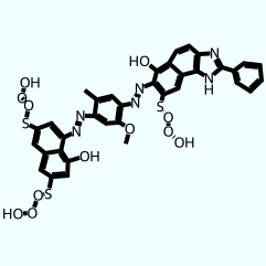 COc1cc(/N=N/c2cc(SOOO)cc3cc(SOOO)cc(O)c23)c(C)cc1/N=N/c1c(SOOO)cc2c(ccc3nc(-c4ccccc4)[nH]c32)c1O